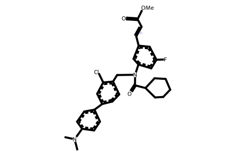 COC(=O)/C=C/c1cc(F)cc(N(Cc2ccc(-c3ccc(N(C)C)cc3)cc2Cl)C(=O)C2CCCCC2)c1